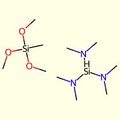 CN(C)[SiH](N(C)C)N(C)C.CO[Si](C)(OC)OC